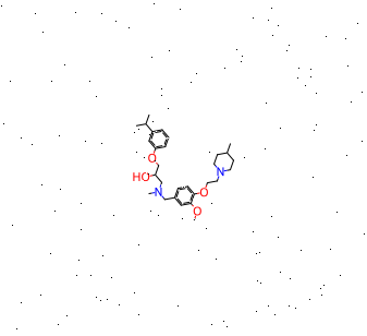 COc1cc(CN(C)CC(O)COc2cccc(C(C)C)c2)ccc1OCCN1CCC(C)CC1